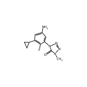 Cn1nnn(-c2cc(N)cc(C3CC3)c2F)c1=O